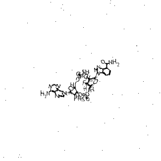 NC(=O)c1cccc2c1nnn2[C@@H]1O[C@@H]2CO[P@](=O)(S)O[C@H]3[C@@H](F)[C@H](n4cnc5c(N)ncnc54)O[C@@H]3CO[P@@](=O)(S)O[C@@H]1[C@@H]2F